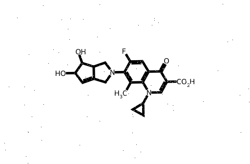 Cc1c(N2CC3=CC(O)C(O)C3C2)c(F)cc2c(=O)c(C(=O)O)cn(C3CC3)c12